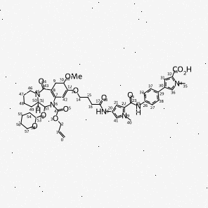 C=CCOC(=O)N1C2=C(CC(OC)C(OCCCC(=O)Nc3cc(C(=O)Nc4ccc(-c5cc(C(=O)O)n(C)c5)cc4)n(C)c3)=C2)C(=O)N2CCCC[C@H]2C1OC1CCCCO1